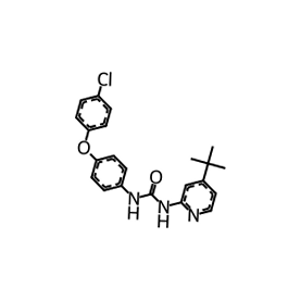 CC(C)(C)c1ccnc(NC(=O)Nc2ccc(Oc3ccc(Cl)cc3)cc2)c1